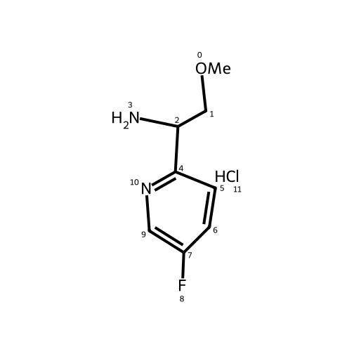 COCC(N)c1ccc(F)cn1.Cl